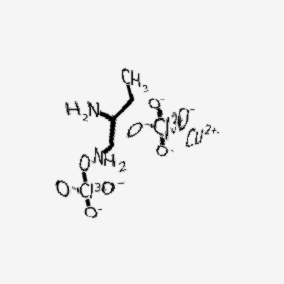 CCC(N)CN.[Cu+2].[O-][Cl+3]([O-])([O-])[O-].[O-][Cl+3]([O-])([O-])[O-]